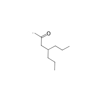 [CH2]C(=O)CC(CCC)CCC